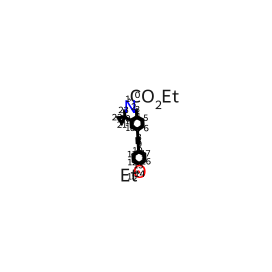 CCOC(=O)CN1Cc2ccc(C#Cc3ccc(OCC)cc3)cc2C2(CC2)C1